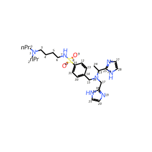 CCCN(CCC)CCCCNS(=O)(=O)c1ccc(CN(Cc2ncc[nH]2)C(C)c2ncc[nH]2)cc1